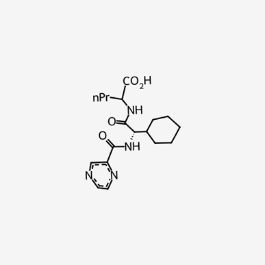 CCCC(NC(=O)[C@@H](NC(=O)c1cnccn1)C1CCCCC1)C(=O)O